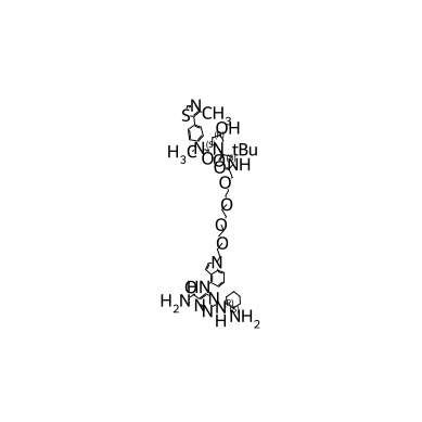 Cc1ncsc1-c1ccc(N(C)C(=O)[C@@H]2C[C@@H](O)CN2C(=O)[C@@H](NC(=O)COCCOCCOCCOCCn2ccc3c(Nc4nc(N[C@@H]5CCCC[C@@H]5N)nnc4C(N)=O)cccc32)C(C)(C)C)cc1